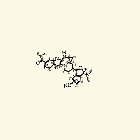 CN(C)C(=O)c1cc2nc(NC3CC3)c(N3CCC(C(=O)c4cc(C#N)ccc4C(=O)N(C)C)CC3)nc2cn1